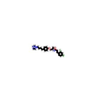 Fc1ccc(/C=C/c2nc(COc3ccc(CCCCn4ccnn4)cc3)co2)c(F)c1